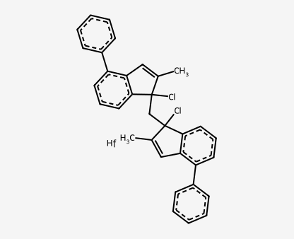 CC1=Cc2c(-c3ccccc3)cccc2C1(Cl)CC1(Cl)C(C)=Cc2c(-c3ccccc3)cccc21.[Hf]